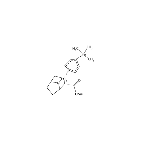 COC(=O)[C@@H]1C2CCC(C[C@@H]1c1cc[c]([Sn]([CH3])([CH3])[CH3])cc1)N2C